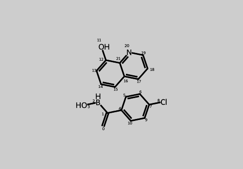 C=C(BO)c1ccc(Cl)cc1.Oc1cccc2cccnc12